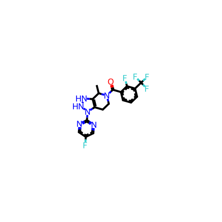 CC1C2=C(CCN1C(=O)c1cccc(C(F)(F)F)c1F)N(c1ncc(F)cn1)NN2